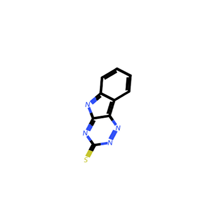 S=C1N=NC2=c3ccccc3=NC2=N1